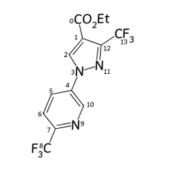 CCOC(=O)c1cn(-c2ccc(C(F)(F)F)nc2)nc1C(F)(F)F